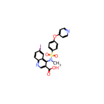 CN(c1c(C(=O)O)cnc2ccc(I)cc12)S(=O)(=O)c1ccc(Oc2ccncc2)cc1